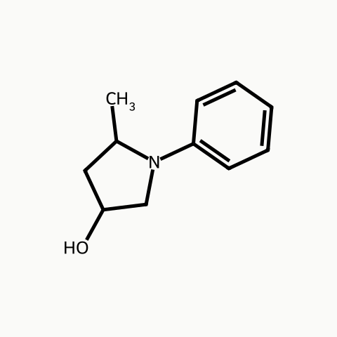 CC1CC(O)CN1c1ccccc1